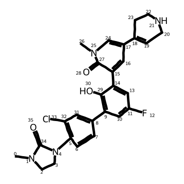 CN1CCN(c2ccc(-c3cc(F)cc(-c4cc(C5=CCNCC5)cn(C)c4=O)c3O)cc2Cl)C1=O